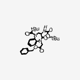 CC(C)(C)OC(=O)NC1CN(C(=O)C(C)(C)C)c2ccccc2N(CC(=O)OCc2ccccc2)C1=O